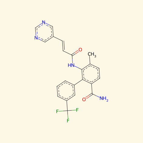 Cc1ccc(C(N)=O)c(-c2cccc(C(F)(F)F)c2)c1NC(=O)C=Cc1cncnc1